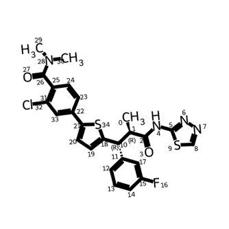 C[C@@H](C(=O)Nc1nncs1)[C@H](c1cccc(F)c1)c1ccc(-c2ccc(C(=O)N(C)C)c(Cl)c2)s1